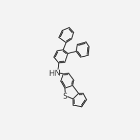 c1ccc(-c2ccc(Nc3ccc4c(c3)sc3ccccc34)cc2-c2ccccc2)cc1